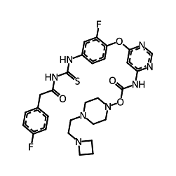 O=C(Cc1ccc(F)cc1)NC(=S)Nc1ccc(Oc2cc(NC(=O)ON3CCN(CCN4CCC4)CC3)ncn2)c(F)c1